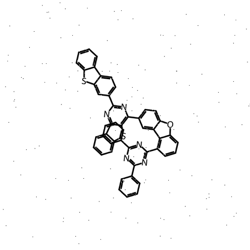 c1ccc(-c2nc(-c3ccccc3)nc(-c3cccc4oc5ccc(-c6nc(-c7ccc8c(c7)sc7ccccc78)nc7c6sc6ccccc67)cc5c34)n2)cc1